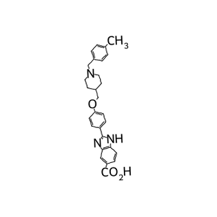 Cc1ccc(CN2CCC(COc3ccc(-c4nc5cc(C(=O)O)ccc5[nH]4)cc3)CC2)cc1